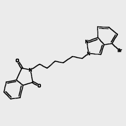 O=C1c2ccccc2C(=O)N1CCCCCCn1cc2c(Br)cccc2n1